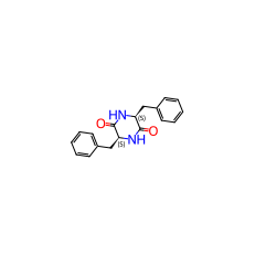 O=C1N[C@@H](Cc2ccccc2)C(=O)N[C@H]1Cc1ccccc1